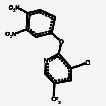 O=[N+]([O-])c1ccc(Oc2ncc(C(F)(F)F)cc2Cl)cc1[N+](=O)[O-]